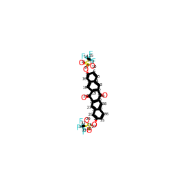 O=C1c2cc3ccc(OS(=O)(=O)C(F)(F)F)cc3cc2C(=O)c2cc3cc(OS(=O)(=O)C(F)(F)F)ccc3cc21